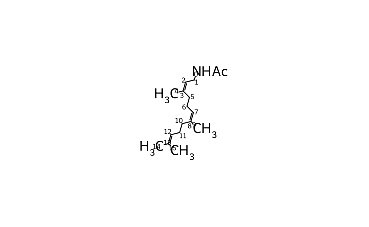 CC(=O)NCC=C(C)CCC=C(C)CCC=C(C)C